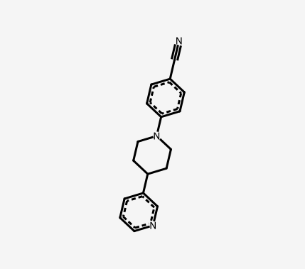 N#Cc1ccc(N2CCC(c3cccnc3)CC2)cc1